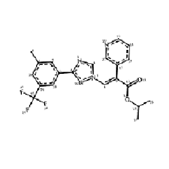 Cc1cc(-c2ncn(/C=C(/C(=O)OC(C)C)c3cccnc3)n2)cc(C(F)(F)F)c1